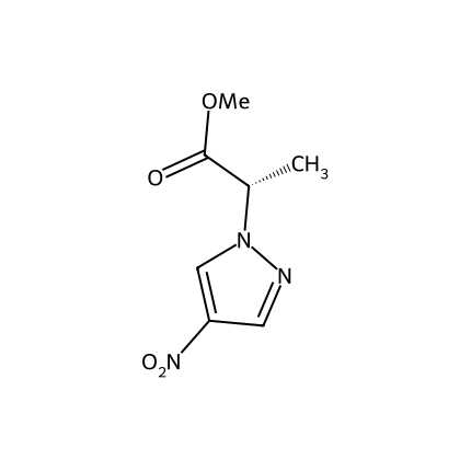 COC(=O)[C@H](C)n1cc([N+](=O)[O-])cn1